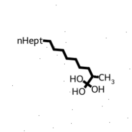 CCCCCCCCCCCCCCC(C)C(O)(O)O